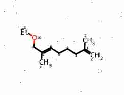 C=C(C)CCCC=C(C)COCC